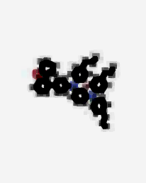 CCCc1ccc(N2c3ccc(CCC)cc3B3c4cc(CCC)ccc4N(c4ccc(-c5cccc6oc7ccccc7c56)cc4)c4cccc2c43)cc1